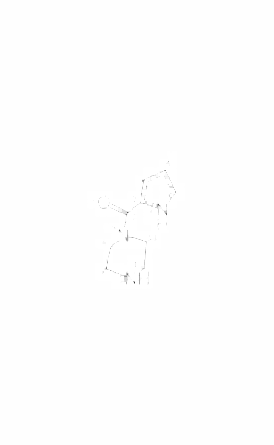 O=C(c1ccc[nH]1)N1CCNCC1